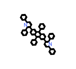 c1ccc(-c2ccc(-c3ccc4c(-c5ccccc5)c5cc(-c6ccc(-c7ccccc7)nc6-c6ccccc6)ccc5c(-c5ccccc5)c4c3)c(-c3ccccc3)n2)cc1